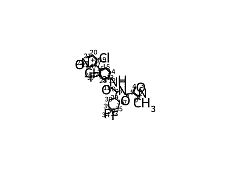 Cc1nocc1C(=O)NC(C(=O)Nc1ccc(-c2c(Cl)cc[n+]([O-])c2C)c(F)c1)C1CCC(F)(F)CC1